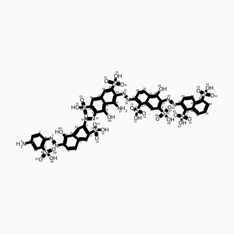 Nc1ccc(N=Nc2ccc3cc(S(=O)(=O)O)c(N=Nc4c(S(=O)(=O)O)cc5cc(S(=O)(=O)O)c(N=Nc6ccc7c(O)c(N=Nc8ccc9c(S(=O)(=O)O)cccc9c8S(=O)(=O)O)c(S(=O)(=O)O)cc7c6S(=O)(=O)O)c(N)c5c4O)cc3c2O)c(S(=O)(=O)O)c1